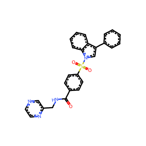 O=C(NCc1cnccn1)c1ccc(S(=O)(=O)n2cc(-c3ccccc3)c3ccccc32)cc1